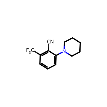 N#Cc1c(N2CCCCC2)cccc1C(F)(F)F